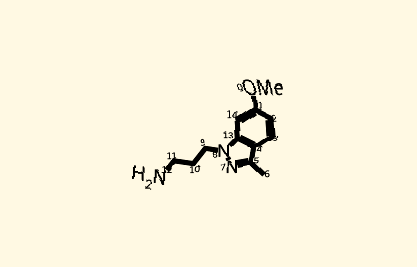 COc1ccc2c(C)nn(CCCN)c2c1